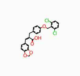 O=C(O)C(=Cc1ccc2c(c1)OCO2)Cc1ccc(OCc2c(Cl)cccc2Cl)cc1